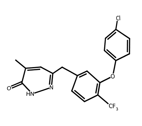 Cc1cc(Cc2ccc(C(F)(F)F)c(Oc3ccc(Cl)cc3)c2)n[nH]c1=O